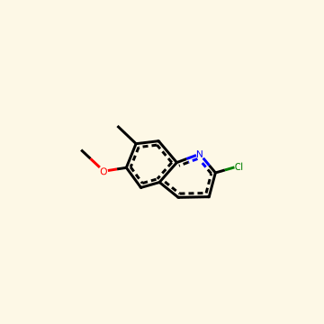 COc1cc2ccc(Cl)nc2cc1C